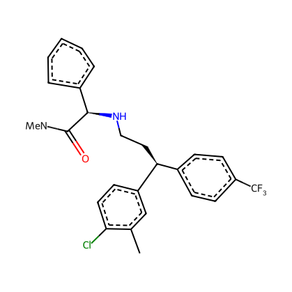 CNC(=O)[C@H](NCC[C@@H](c1ccc(C(F)(F)F)cc1)c1ccc(Cl)c(C)c1)c1ccccc1